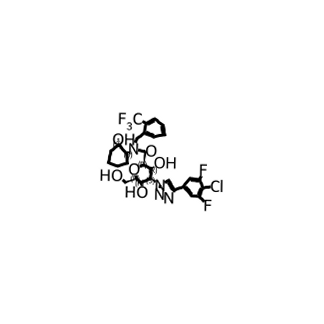 O=C([C@@H]1O[C@H](CO)[C@H](O)[C@H](n2cc(-c3cc(F)c(Cl)c(F)c3)nn2)[C@H]1O)N(Cc1ccccc1C(F)(F)F)[C@H]1CCCC[C@@H]1O